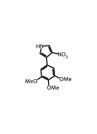 COc1cc(-c2c[nH]cc2[N+](=O)[O-])cc(OC)c1OC